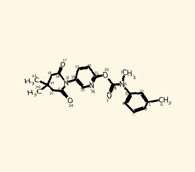 Cc1cccc(N(C)C(=O)Oc2ccc(N3C(=O)CC(C)(C)CC3=O)cn2)c1